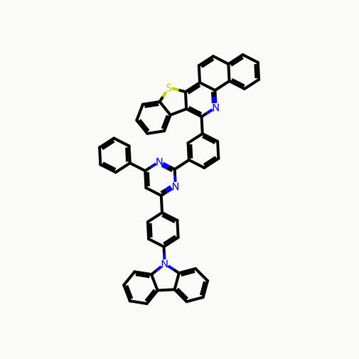 c1ccc(-c2cc(-c3ccc(-n4c5ccccc5c5ccccc54)cc3)nc(-c3cccc(-c4nc5c6ccccc6ccc5c5sc6ccccc6c45)c3)n2)cc1